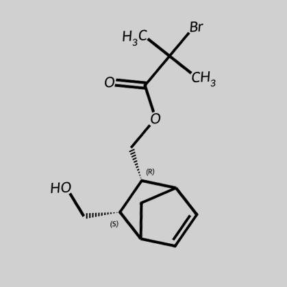 CC(C)(Br)C(=O)OC[C@@H]1C2C=CC(C2)[C@@H]1CO